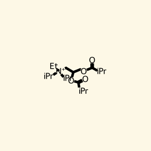 CC[N+](CC(COC(=O)C(C)C)OC(=O)C(C)C)(C(C)C)C(C)C